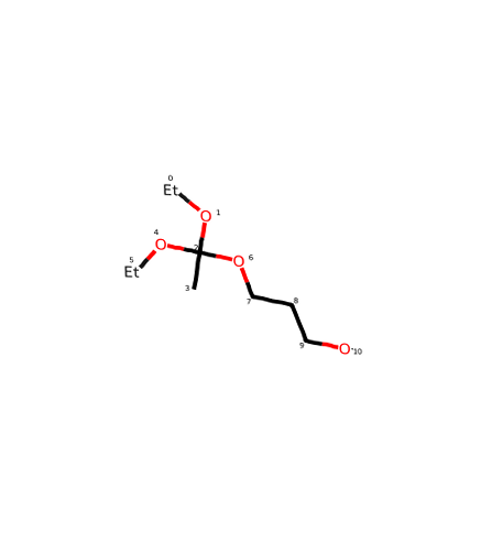 CCOC(C)(OCC)OCCC[O]